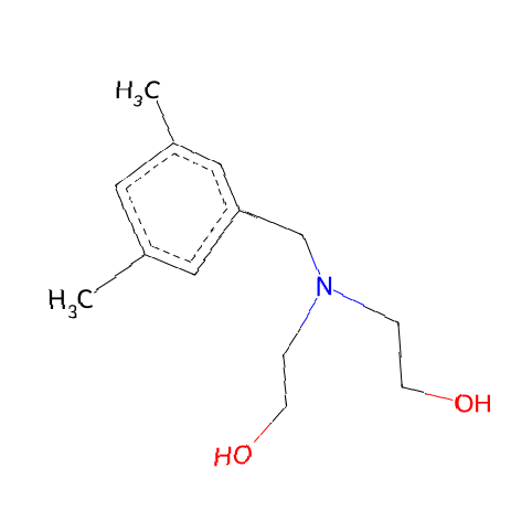 Cc1cc(C)cc(CN(CCO)CCO)c1